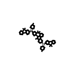 Cc1ccc(N(c2ccc3c(c2)C(C)(C)c2ccccc2-3)c2ccc3c(c2)C(C)(C)c2cccc4c2c-3c(C)c2ccc(N(c3ccc(C)cc3)c3ccc5c(c3)C(C)(C)c3ccccc3-5)cc24)cc1